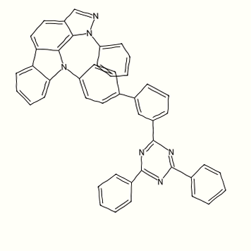 c1ccc(-c2nc(-c3ccccc3)nc(-c3cccc(-c4ccc(-n5c6ccccc6c6ccc7cnn(-c8ccccc8)c7c65)cc4)c3)n2)cc1